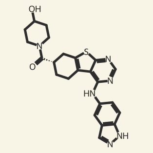 O=C([C@H]1CCc2c(sc3ncnc(Nc4ccc5[nH]ncc5c4)c23)C1)N1CCC(O)CC1